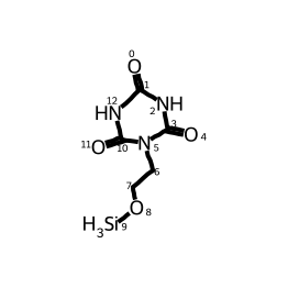 O=c1[nH]c(=O)n(CCO[SiH3])c(=O)[nH]1